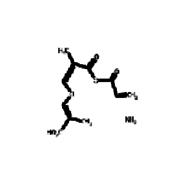 C=CC(=O)OC(=O)C(C)=COC=C(C)C(=O)O.N